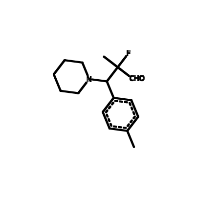 Cc1ccc(C(N2CCCCC2)C(C)(F)C=O)cc1